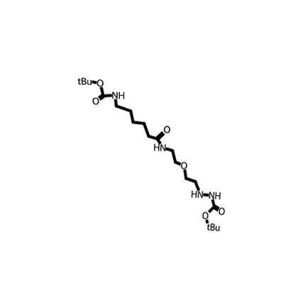 CC(C)(C)OC(=O)NCCCCCC(=O)NCCOCCNNC(=O)OC(C)(C)C